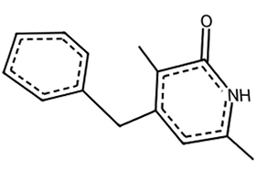 Cc1cc(Cc2ccccc2)c(C)c(=O)[nH]1